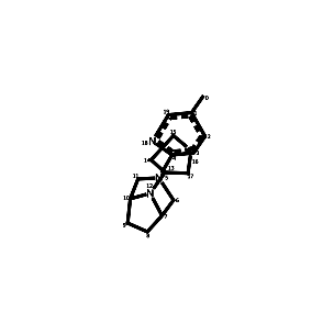 Cc1ccc(N2CC3CCC(C2)N3C2CCOC2)nc1